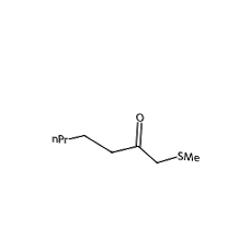 CCCCCC(=O)CSC